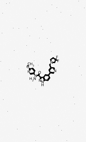 COc1ccc(N(N)C(=O)c2n[nH]c3ccc(-c4cncc(CN5CCC(F)(F)C5)c4)cc23)cn1